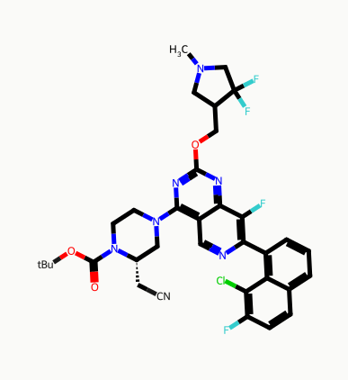 CN1CC(COc2nc(N3CCN(C(=O)OC(C)(C)C)[C@@H](CC#N)C3)c3cnc(-c4cccc5ccc(F)c(Cl)c45)c(F)c3n2)C(F)(F)C1